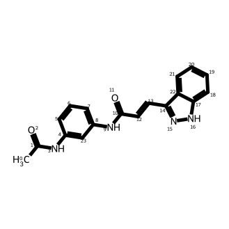 CC(=O)Nc1cccc(NC(=O)/C=C/c2n[nH]c3ccccc23)c1